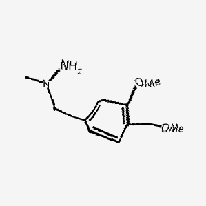 COc1ccc(CN(C)N)cc1OC